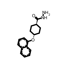 NNC(=O)[C@H]1CC[C@H](Oc2cccc3ccccc23)CC1